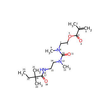 C=C(C)C(=O)OCCN(C)C(=O)N(C)CCNC(=O)C(C)(C)CC